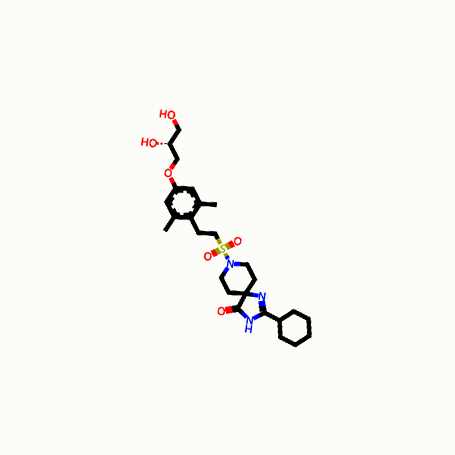 Cc1cc(OC[C@H](O)CO)cc(C)c1CCS(=O)(=O)N1CCC2(CC1)N=C(C1CCCCC1)NC2=O